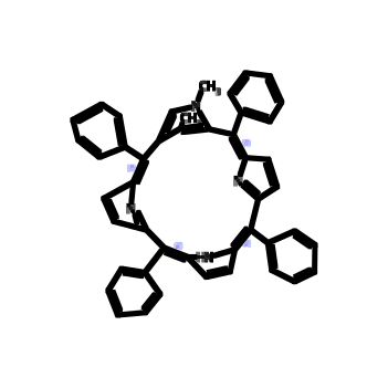 Cc1c2cn(C)c1/C(c1ccccc1)=C1/C=CC(=N1)/C(c1ccccc1)=c1/cc/c([nH]1)=C(\c1ccccc1)C1=N/C(=C\2c2ccccc2)C=C1